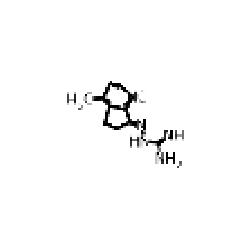 Cc1cccc2c1CCC2=NNC(=N)N.Cl